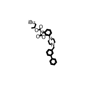 CCC(C)CC(C)OC(=O)n1c(=O)oc2c(N3CCN(Cc4cccc(-c5ccccc5)c4)CC3)cccc21